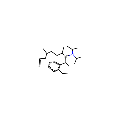 C=CCC(C)CCC(C)B(C(C)c1ccccc1CC)N(C(C)C)C(C)C